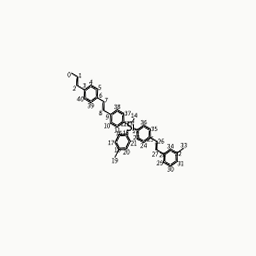 CC=Cc1ccc(C=Cc2ccc([Si](C)(c3ccc(C)cc3)c3ccc(C=Cc4cccc(C)c4)cc3)cc2)cc1